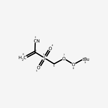 C=C(C#N)S(=O)(=O)COOC(C)(C)C